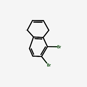 Brc1ccc2c(c1Br)CC=C[CH]2